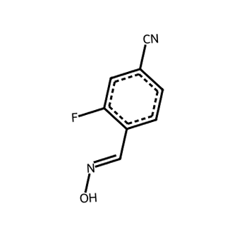 N#Cc1ccc(C=NO)c(F)c1